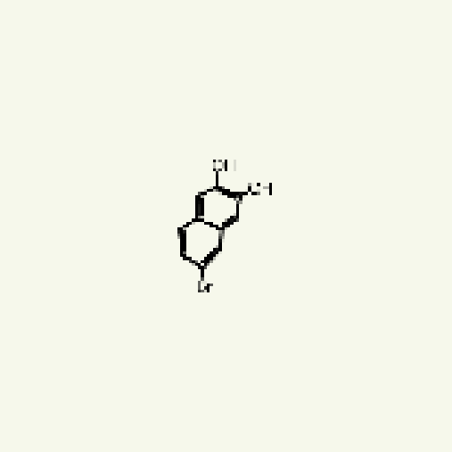 Oc1cc2ccc(Br)cc2cc1O